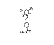 COC(=O)c1ccc(CCn2c(C)c(C(C)C)cc(Cl)c2=O)cc1